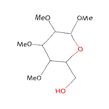 COC1OC(CO)C(OC)C(OC)C1OC